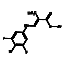 CCCOC(=O)/C(=C/Nc1cc(F)c(Br)c(F)c1)C(=O)OCC